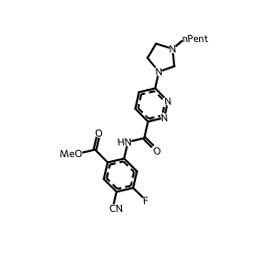 CCCCCN1CCN(c2ccc(C(=O)Nc3cc(F)c(C#N)cc3C(=O)OC)nn2)C1